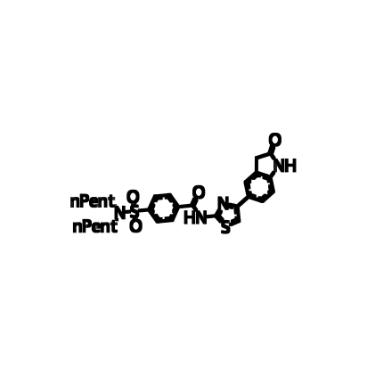 CCCCCN(CCCCC)S(=O)(=O)c1ccc(C(=O)Nc2nc(-c3ccc4c(c3)CC(=O)N4)cs2)cc1